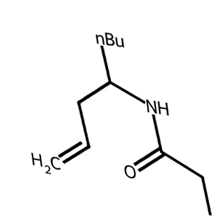 C=CCC(CCCC)NC(=O)CC#N